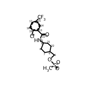 CS(=O)(=O)OCC1CCC(NC(=O)c2cc(C(F)(F)F)ccc2Cl)CC1